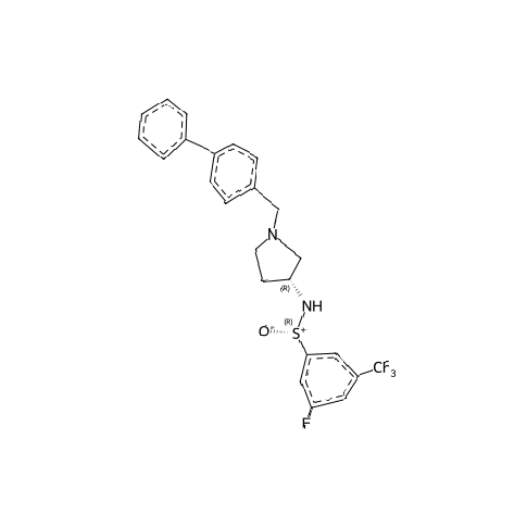 [O-][S@+](N[C@@H]1CCN(Cc2ccc(-c3ccccc3)cc2)C1)c1cc(F)cc(C(F)(F)F)c1